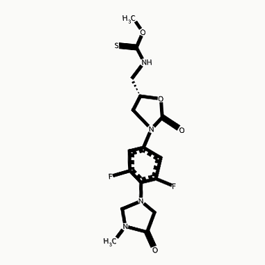 COC(=S)NC[C@H]1CN(c2cc(F)c(N3CC(=O)N(C)C3)c(F)c2)C(=O)O1